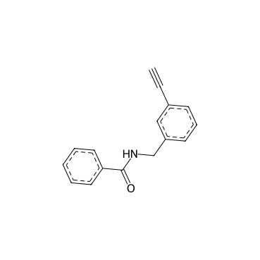 C#Cc1cccc(CNC(=O)c2ccccc2)c1